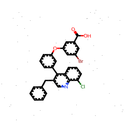 O=C(O)c1cc(Br)cc(Oc2cccc(-c3c(Cc4ccccc4)cnc4c(Cl)cccc34)c2)c1